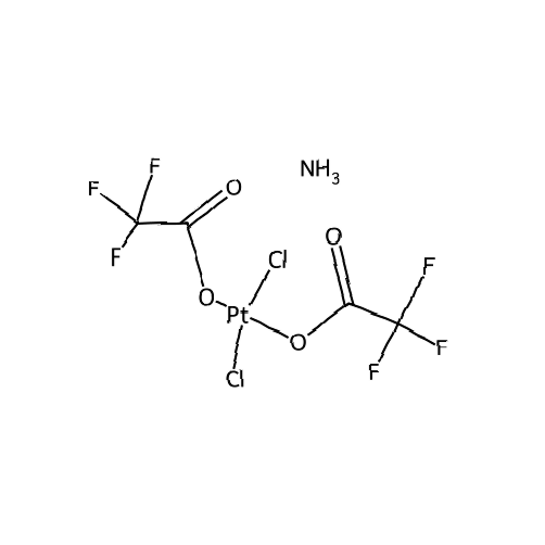 N.O=C([O][Pt]([Cl])([Cl])[O]C(=O)C(F)(F)F)C(F)(F)F